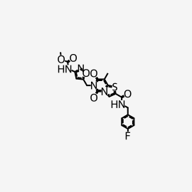 COC(=O)Nc1cc(Cn2c(=O)c(C)c3sc(C(=O)NCc4ccc(F)cc4)cn3c2=O)on1